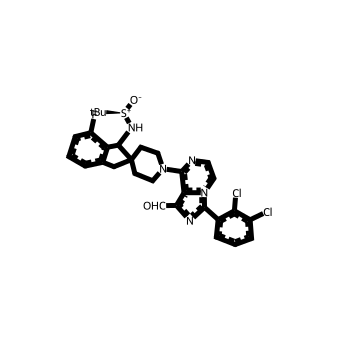 CC(C)(C)[S@@+]([O-])NC1c2c(F)cccc2CC12CCN(c1nccn3c(-c4cccc(Cl)c4Cl)nc(C=O)c13)CC2